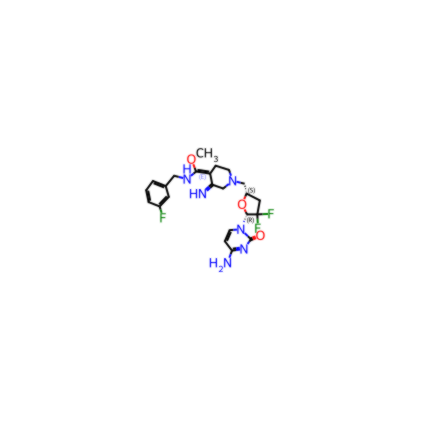 CO/C(NCc1cccc(F)c1)=C1\CCN(C[C@@H]2CC(F)(F)[C@H](n3ccc(N)nc3=O)O2)CC1=N